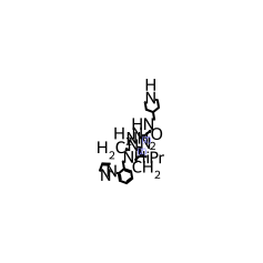 C=C/C(=C(/N=C(\N)C(=O)NCC1CCNCC1)N(N)C(=C)NCc1ccccc1-n1cccn1)C(C)C